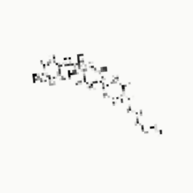 CCCCCC1CCC(c2ccc(C(F)(F)Oc3ccc(F)cc3)cc2)CC1